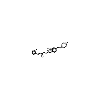 CN1CCN(CCc2ccc(/C=C(\C=O)CCC(=O)/C=C/c3cccn3C)cc2)CC1